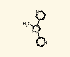 Cc1nn(-c2cccnc2)cc1-c1cccnc1